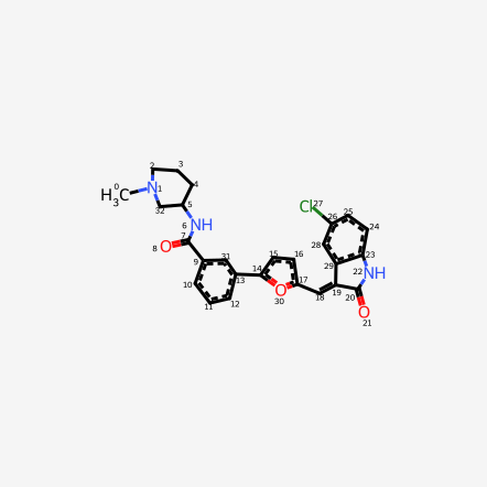 CN1CCCC(NC(=O)c2cccc(-c3ccc(/C=C4/C(=O)Nc5ccc(Cl)cc54)o3)c2)C1